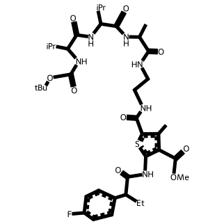 CCC(C(=O)Nc1sc(C(=O)NCCNC(=O)C(C)NC(=O)C(NC(=O)C(NC(=O)OC(C)(C)C)C(C)C)C(C)C)c(C)c1C(=O)OC)c1ccc(F)cc1